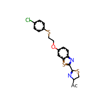 CC(=O)C1CSC(c2nc3ccc(OCCSc4ccc(Cl)cc4)cc3s2)=N1